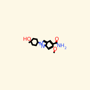 COc1cc2nn(C3CCC(C)(O)CC3)cc2cc1C(N)=O